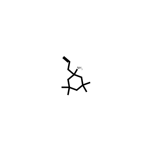 C=CCC1(N)CC(C)(C)CC(C)(C)C1